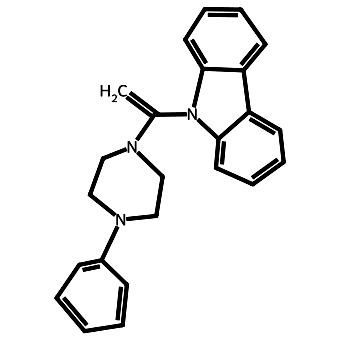 C=C(N1CCN(c2ccccc2)CC1)n1c2ccccc2c2ccccc21